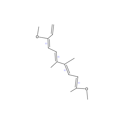 C=C\C(=C/C=C(C)/C(C)=C/C=C(\C)OC)OC